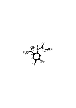 CC(C)(C)OC(=O)Nc1cc(Br)c(F)cc1C(O)C(F)(F)F